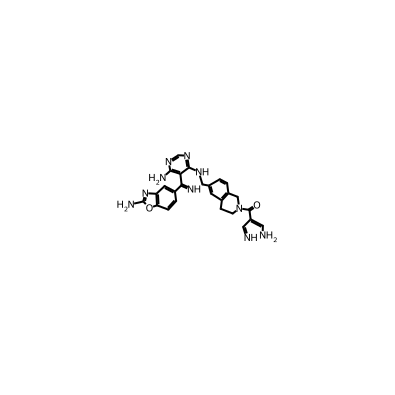 N=C/C(=C\N)C(=O)N1CCc2cc(CNc3ncnc(N)c3C(=N)c3ccc4oc(N)nc4c3)ccc2C1